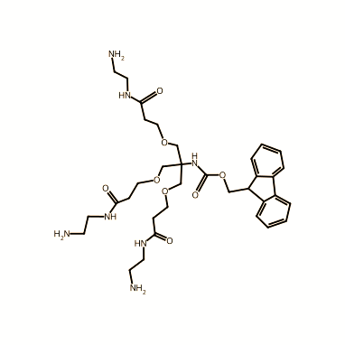 NCCNC(=O)CCOCC(COCCC(=O)NCCN)(COCCC(=O)NCCN)NC(=O)OCC1c2ccccc2-c2ccccc21